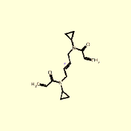 C=CC(=O)N(C/C=C/CN(C(=O)C=C)C1CC1)C1CC1